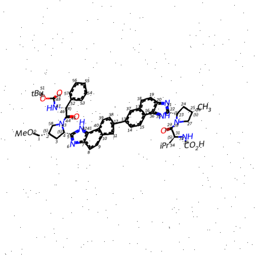 COC[C@H]1C[C@@H](c2nc3ccc4cc(-c5ccc6c(ccc7nc([C@@H]8C[C@H](C)CN8C(=O)[C@@H](NC(=O)O)C(C)C)[nH]c76)c5)ccc4c3[nH]2)N(C(=O)[C@H](NC(=O)OC(C)(C)C)c2ccccc2)C1